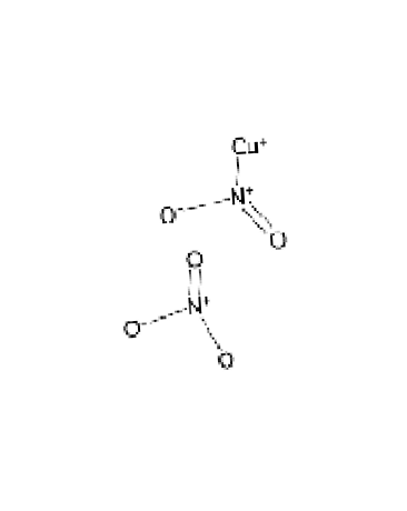 O=[N+]([O-])[Cu+].O=[N+]([O-])[O-]